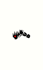 O=C(Nc1nnc(N2CCC(N3CCCCC3)CC2)s1)NC12CC3CC(CC(C3)C1)C2